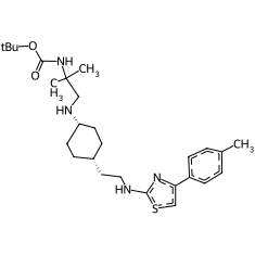 Cc1ccc(-c2csc(NCC[C@H]3CC[C@@H](NCC(C)(C)NC(=O)OC(C)(C)C)CC3)n2)cc1